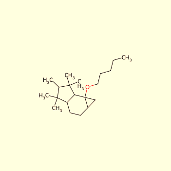 CCCCCOC12CC1CCC1C2C(C)(C)C(C)C1(C)C